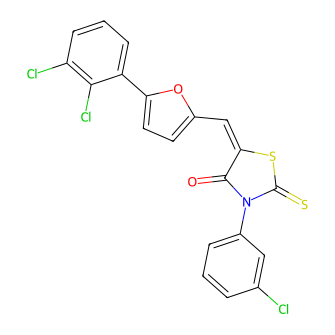 O=C1/C(=C\c2ccc(-c3cccc(Cl)c3Cl)o2)SC(=S)N1c1cccc(Cl)c1